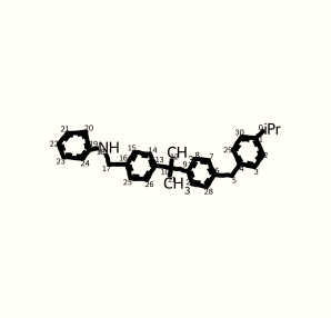 CC(C)c1ccc(Cc2ccc(C(C)(C)c3ccc(CNc4ccccc4)cc3)cc2)cc1